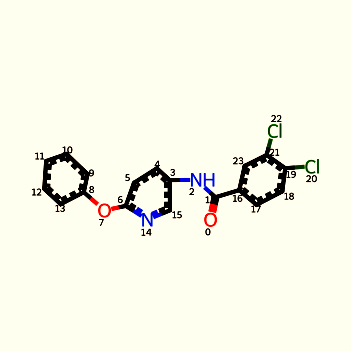 O=C(Nc1ccc(Oc2ccccc2)nc1)c1ccc(Cl)c(Cl)c1